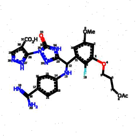 COc1cc(OCCCOC(C)=O)c(F)c(C(Nc2ccc(C(=N)N)cc2)c2nn(-c3[nH]ncc3C(=O)O)c(=O)[nH]2)c1